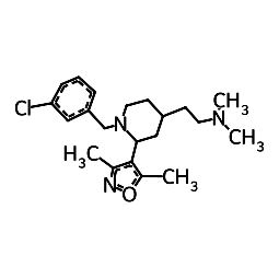 Cc1noc(C)c1C1CC(CCN(C)C)CCN1Cc1cccc(Cl)c1